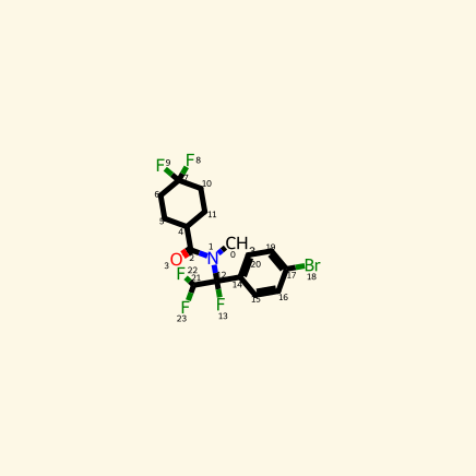 CN(C(=O)C1CCC(F)(F)CC1)C(F)(c1ccc(Br)cc1)C(F)F